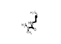 CS#CCNC(=O)N(C)C